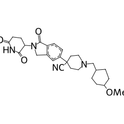 COC1CCC(CN2CCC(C#N)(c3ccc4c(c3)CN(C3CCC(=O)NC3=O)C4=O)CC2)CC1